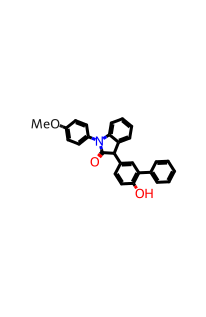 COc1ccc(N2C(=O)C(c3ccc(O)c(-c4ccccc4)c3)c3ccccc32)cc1